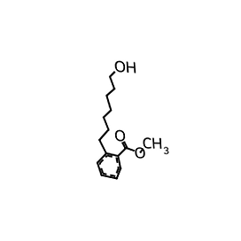 COC(=O)c1ccccc1CCCCCCCO